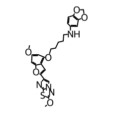 COc1cc(OCCCCCNc2ccc3c(c2)OCO3)c2cc(-c3cn4nc(OC)sc4n3)oc2c1